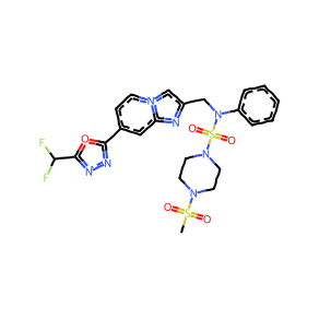 CS(=O)(=O)N1CCN(S(=O)(=O)N(Cc2cn3ccc(-c4nnc(C(F)F)o4)cc3n2)c2ccccc2)CC1